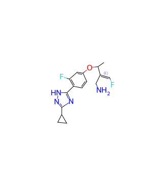 CC(Oc1ccc(-c2nc(C3CC3)n[nH]2)c(F)c1)/C(=C/F)CN